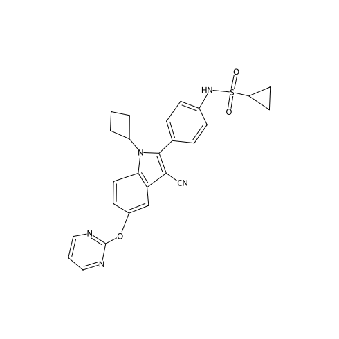 N#Cc1c(-c2ccc(NS(=O)(=O)C3CC3)cc2)n(C2CCC2)c2ccc(Oc3ncccn3)cc12